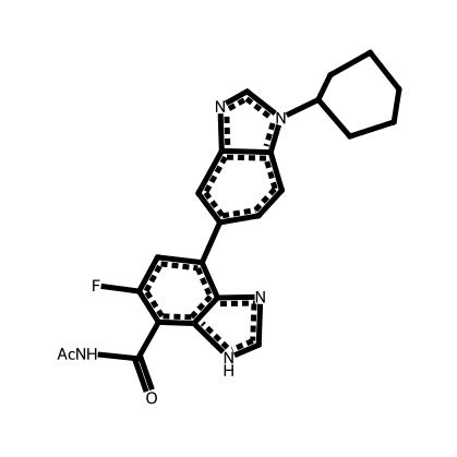 CC(=O)NC(=O)c1c(F)cc(-c2ccc3c(c2)ncn3C2CCCCC2)c2nc[nH]c12